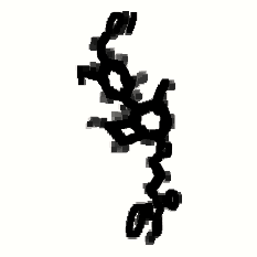 Cc1cc(OCCCS(C)(=O)=O)c2c(c1-c1ccc(CO)c(F)c1)CC2